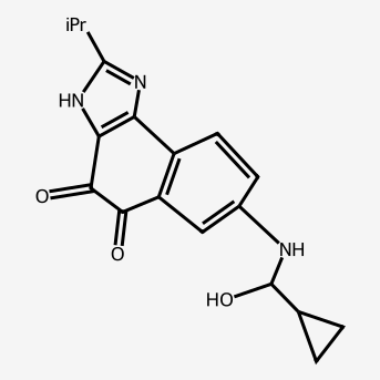 CC(C)c1nc2c([nH]1)C(=O)C(=O)c1cc(NC(O)C3CC3)ccc1-2